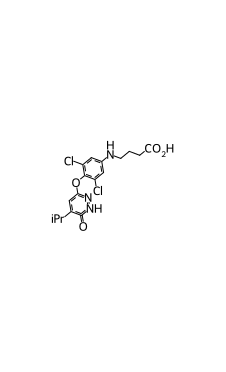 CC(C)c1cc(Oc2c(Cl)cc(NCCCC(=O)O)cc2Cl)n[nH]c1=O